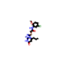 CCCc1cc(=O)[nH]c2nnc(SCC(=O)Nc3cc(Cl)ccc3OC)n12